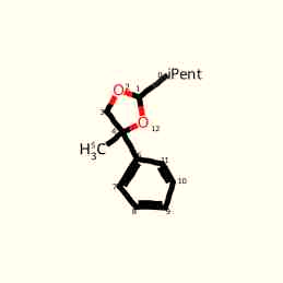 CCCC(C)C1OCC(C)(c2ccccc2)O1